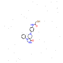 O=C(CS)Nc1ccc(N2CCC3(CC2)C(=O)NCN3c2ccccc2)cc1